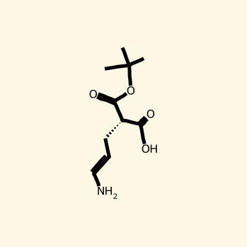 CC(C)(C)OC(=O)[C@@H](CC=CN)C(=O)O